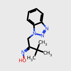 CC(C)(C)/C(Cn1nnc2ccccc21)=N\O